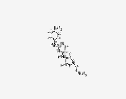 Cc1cc(CCN)cc(C)c1Nc1ccnc(Nc2ccc(N)cc2)n1